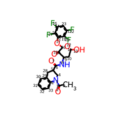 CC(=O)N1CC(C(=O)NC(CC(=O)O)C(=O)COc2c(F)c(F)cc(F)c2F)Cc2ccccc21